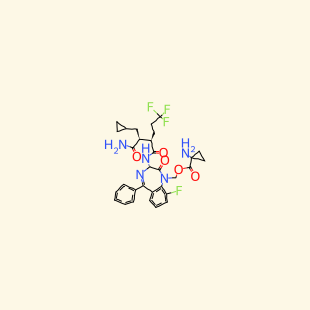 NC(=O)[C@@H](CC1CC1)[C@@H](CCC(F)(F)F)C(=O)N[C@H]1N=C(c2ccccc2)c2cccc(F)c2N(COC(=O)C2(N)CC2)C1=O